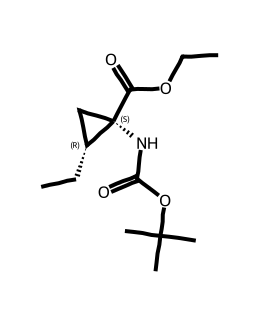 CCOC(=O)[C@]1(NC(=O)OC(C)(C)C)C[C@H]1CC